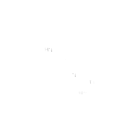 CCCC(CC)N1CC2CNCC2C1